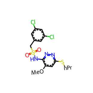 CCCSc1cc(OC)c(NS(=O)(=O)Cc2cc(Cl)cc(Cl)c2)nn1